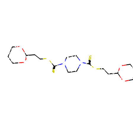 S=C(SCCC1OCCCO1)N1CCN(C(=S)SCCC2OCCCO2)CC1